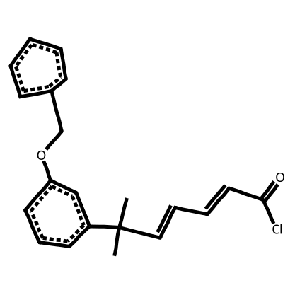 CC(C)(/C=C/C=C/C(=O)Cl)c1cccc(OCc2ccccc2)c1